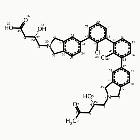 CC(=O)C[C@H](O)CN1Cc2ccc(-c3cccc(-c4cccc(-c5ccc6c(c5)CN(C[C@@H](O)CC(=O)O)C6)c4Cl)c3Cl)cc2C1